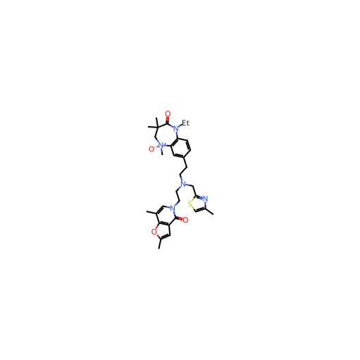 CCN1C(=O)C(C)(C)C[N+](C)([O-])c2cc(CCN(CCn3cc(C)c4oc(C)cc4c3=O)Cc3nc(C)cs3)ccc21